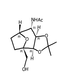 CC(=O)N[C@@H]1[C@H]2OC(C)(C)O[C@H]2[C@]2(CO)CC[C@H]1O2